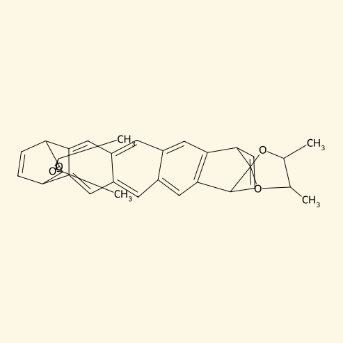 CC1OC2(OC1C)C1C=CC2c2cc3cc4cc5c(cc4cc3cc21)C1C=CC5C12OC(C)C(C)O2